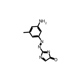 Cc1cc(N)cc(N=NC2=NC(=O)C=N2)c1